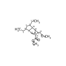 CCC1CC(CC)C2C3CC(C(COC)C3C(=O)OC)C12